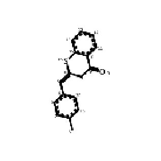 Cc1ccc(/C=C2\CC(=O)c3ccccc3S2)cc1